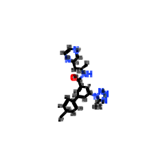 CCc1nnnn1-c1cc(C(=O)N[C@H](C)Cc2cnccn2)cc(-c2ccc(C)cc2)c1